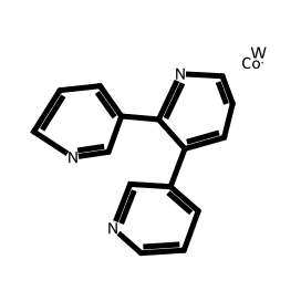 [Co].[W].c1cncc(-c2cccnc2-c2cccnc2)c1